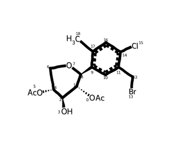 CC(=O)O[C@@H]1[C@@H](O)[C@H](OC(C)=O)CO[C@H]1c1cc(CBr)c(Cl)cc1C